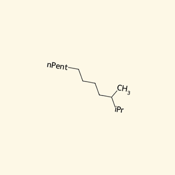 CCCCCCCCCC(C)C(C)C